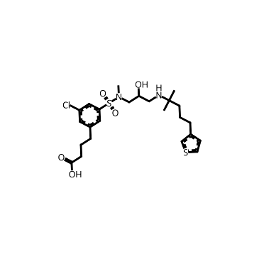 CN(CC(O)CNC(C)(C)CCCc1ccsc1)S(=O)(=O)c1cc(Cl)cc(CCCC(=O)O)c1